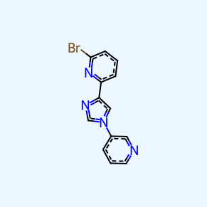 Brc1cccc(-c2cn(-c3cccnc3)cn2)n1